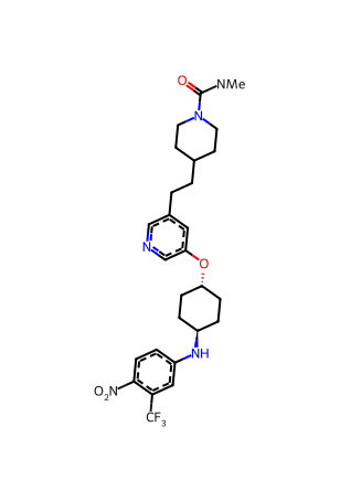 CNC(=O)N1CCC(CCc2cncc(O[C@H]3CC[C@H](Nc4ccc([N+](=O)[O-])c(C(F)(F)F)c4)CC3)c2)CC1